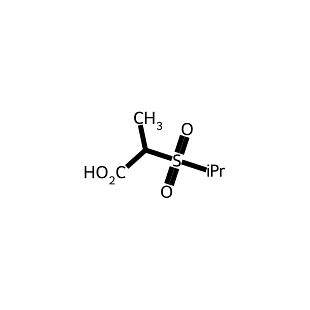 CC(C)S(=O)(=O)C(C)C(=O)O